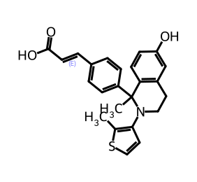 Cc1sccc1N1CCc2cc(O)ccc2C1(C)c1ccc(/C=C/C(=O)O)cc1